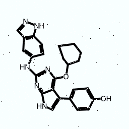 Oc1ccc(-c2c[nH]c3nc(Nc4ccc5[nH]ncc5c4)nc(OC4CCCCC4)c23)cc1